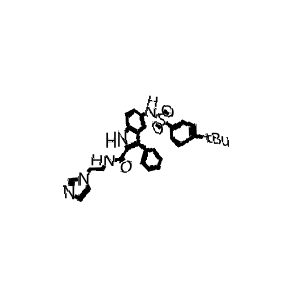 CC(C)(C)c1ccc(S(=O)(=O)Nc2ccc3[nH]c(C(=O)NCCn4ccnc4)c(-c4ccccc4)c3c2)cc1